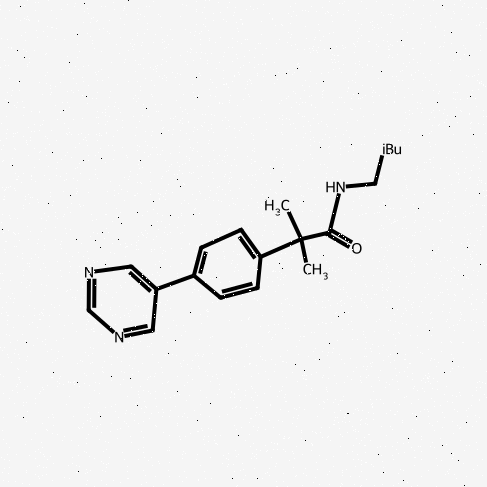 CCC(C)CNC(=O)C(C)(C)c1ccc(-c2cncnc2)cc1